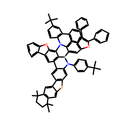 CC(C)(C)c1ccc(N2B3c4cc5oc(-c6ccccc6)c(-c6ccccc6)c5cc4N(c4ccc(C(C)(C)C)cc4-c4ccccc4)c4c3c(cc3c4oc4ccccc43)-c3cc4c(cc32)sc2cc3c(cc24)C(C)(C)CCC3(C)C)cc1